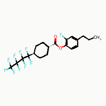 CCCc1ccc(OC(=O)[C@H]2CC[C@H](C(F)(F)C(F)(F)C(F)(F)C(F)(F)F)CC2)c(F)c1